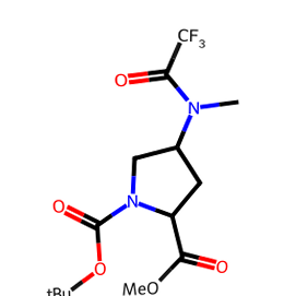 COC(=O)C1CC(N(C)C(=O)C(F)(F)F)CN1C(=O)OC(C)(C)C